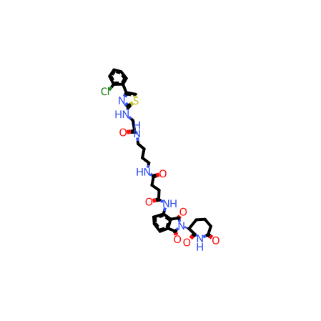 O=C(CCC(=O)Nc1cccc2c1C(=O)N([C@H]1CCCC(=O)NC1=O)C2=O)NCCCCNC(=O)CNc1nc(-c2ccccc2Cl)cs1